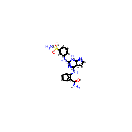 NC(=O)C1C2C=CC(C2)C1Nc1nc(Nc2cccc(S(N)(=O)=O)c2)[nH]c2nccc1-2